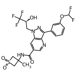 CC1(NC(=O)c2cnc3c(-c4cccc(OC(F)F)c4)nn(C[C@H](O)C(F)(F)F)c3c2)CS(=O)(=O)C1